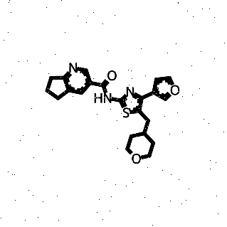 O=C(Nc1nc(-c2ccoc2)c(CC2CCOCC2)s1)c1cnc2c(c1)CCC2